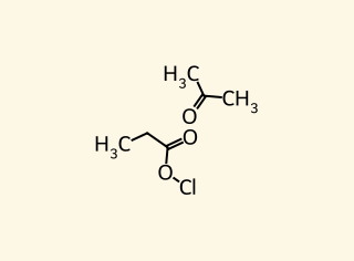 CC(C)=O.CCC(=O)OCl